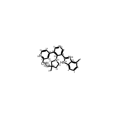 Cc1cccc2[nH]c(-c3cncc(-c4ccnc(C#N)c4)c3N3CCC(C)(N)C3)nc12